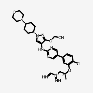 C[C@@H](C[N+](=N)C=N)Oc1cc(-c2cnc(Nc3cn([C@H]4CC[C@H](N5CCOCC5)CC4)nc3OCC#N)nc2)ccc1Cl